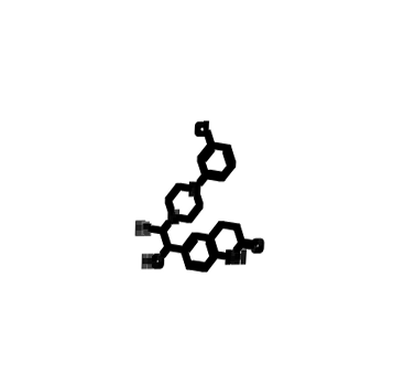 CCC(C(O)c1ccc2c(c1)CCC(=O)N2)N1CCN(c2cccc(Cl)c2)CC1